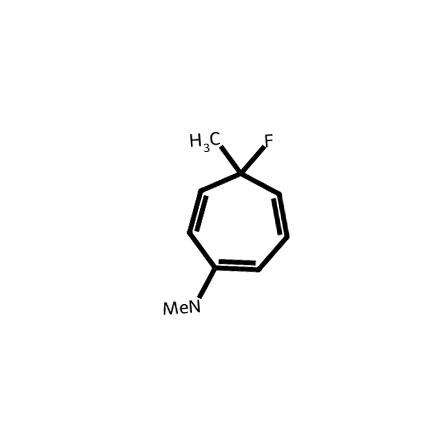 CNC1=CC=CC(C)(F)C=C1